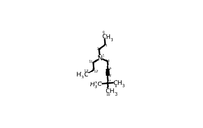 CCCN(CC#CC(C)(C)C)CCC